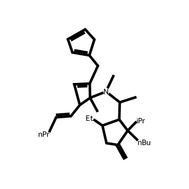 C=C1CC(CC)C(C(C)N(C)C2(C)C(CC3=CC=CC3)=CC2/C=C/CCC)C1(CCCC)C(C)C